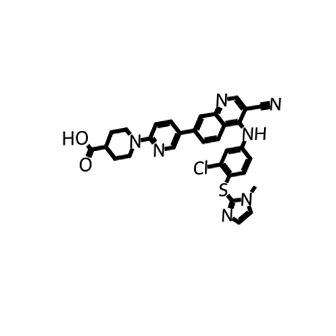 Cn1ccnc1Sc1ccc(Nc2c(C#N)cnc3cc(-c4ccc(N5CCC(C(=O)O)CC5)nc4)ccc23)cc1Cl